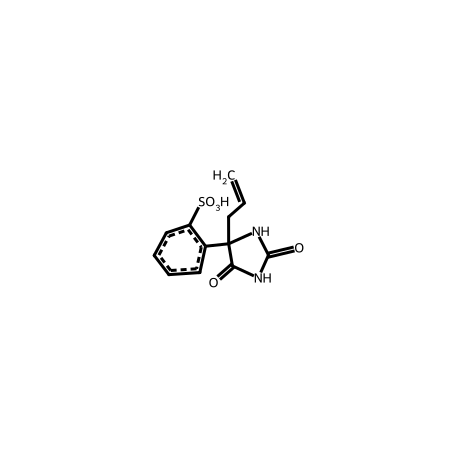 C=CCC1(c2ccccc2S(=O)(=O)O)NC(=O)NC1=O